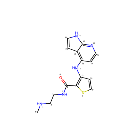 CNCCNC(=O)c1sccc1Nc1ccnc2[nH]ccc12